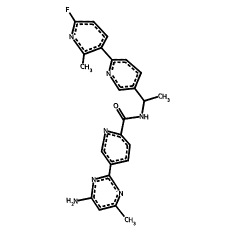 Cc1cc(N)nc(-c2ccc(C(=O)NC(C)c3ccc(-c4ccc(F)nc4C)nc3)nc2)n1